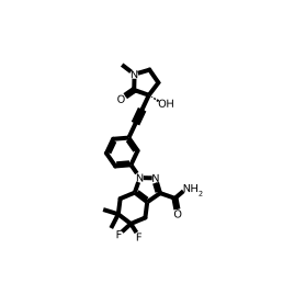 CN1CC[C@@](O)(C#Cc2cccc(-n3nc(C(N)=O)c4c3CC(C)(C)C(F)(F)C4)c2)C1=O